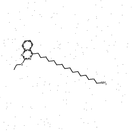 CCSc1nc(CCCCCCCCCCCCCCCCN)c2ccccc2n1